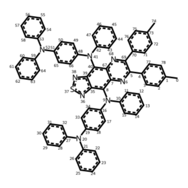 Cc1ccc(-c2nc3c(N(c4ccccc4)c4ccc(N(c5ccccc5)c5ccccc5)cc4)c4nsnc4c(N(c4ccccc4)c4ccc(N(c5ccccc5)c5ccccc5)cc4)c3nc2-c2ccc(C)cc2)cc1